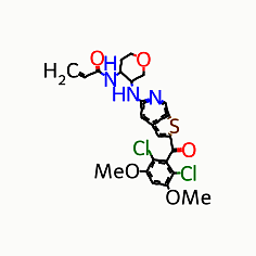 C=CC(=O)NC1CCOCC1Nc1cc2cc(C(=O)c3c(Cl)c(OC)cc(OC)c3Cl)sc2cn1